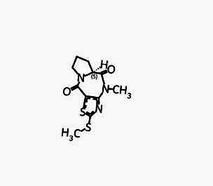 CSc1nc2c(s1)C(=O)N1CCC[C@H]1C(=O)N2C